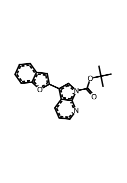 CC(C)(C)OC(=O)n1cc(-c2cc3ccccc3o2)c2cccnc21